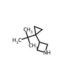 CC(C)(C)C1(C2CNC2)CC1